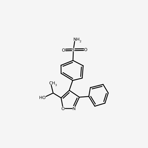 CC(O)c1onc(-c2ccccc2)c1-c1ccc(S(N)(=O)=O)cc1